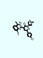 CC(NC(=O)c1cc(-c2ccc(Cl)cc2)nn(-c2cnn(C)c2)c1=O)c1cccc(F)c1